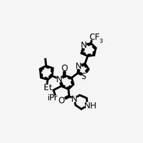 CCc1ccc(C)cc1-n1c(CC(C)C)c(C(=O)N2CCNCC2)cc(-c2nc(-c3ccc(C(F)(F)F)nc3)cs2)c1=O